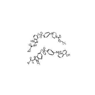 CCOC(=O)N1CCN(c2ccc(S(=O)(=O)Oc3ccc4[nH]c(NC(=O)C5CC5)nc4c3)cc2)CC1.O=C(Nc1nc2cc(OS(=O)(=O)c3ccc(Nc4cccc5c(O)cccc45)cc3)ccc2[nH]1)C1CC1